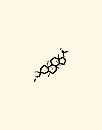 COCC1(O)CC[C@H]2[C@H](CC[C@@H]3[C@@H]2CC[C@]2(C)[C@@H](C(C)=O)CC[C@@H]32)C1